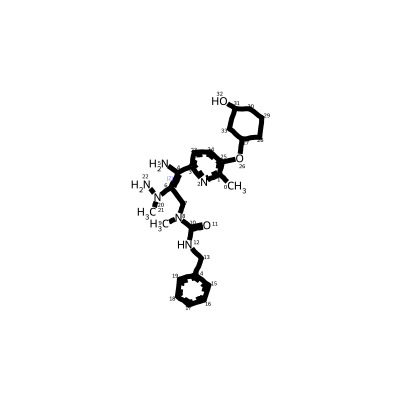 Cc1nc(/C(N)=C(\CN(C)C(=O)NCc2ccccc2)N(C)N)ccc1OC1CCCC(O)C1